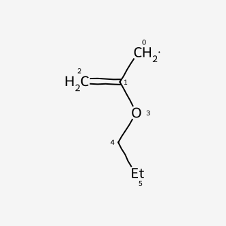 [CH2]C(=C)OCCC